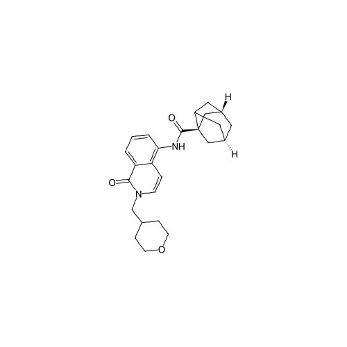 O=C(Nc1cccc2c(=O)n(CC3CCOCC3)ccc12)[C@]12C[C@@H]3CC1C[C@@H](C3)C2